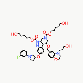 O=C(NC1CN(C(=O)OCCCCCO)CC(OCc2ccc3c(c2)N(CCCO)CCO3)C1c1ccc(OC2CCN(c3cccc(F)c3)C2)cc1)OCCCCCO